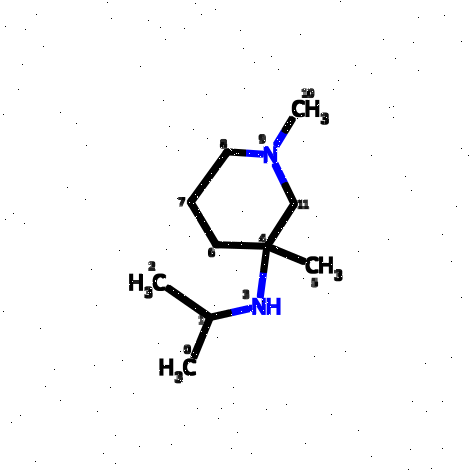 CC(C)NC1(C)CCCN(C)C1